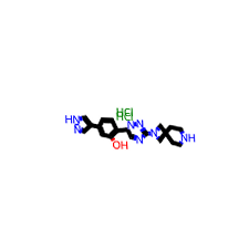 Cl.Cl.Oc1cc(-c2cn[nH]c2)ccc1-c1cnc(N2CC3(CCNCC3)C2)nn1